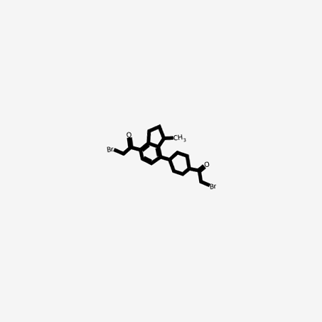 CC1CCc2c(C(=O)CBr)ccc(C3CCC(C(=O)CBr)CC3)c21